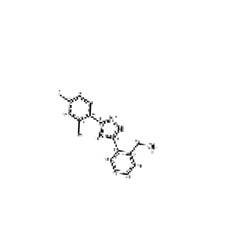 Cc1ccc(-c2n[nH]c(-c3ccccc3CO)n2)c(C)c1